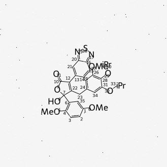 COc1ccc(OC)c(C2(O)OC(=O)C(c3ccc4nsnc4c3)=C2Cc2cc(OC)c(OC(C)C)c(OC(C)C)c2)c1